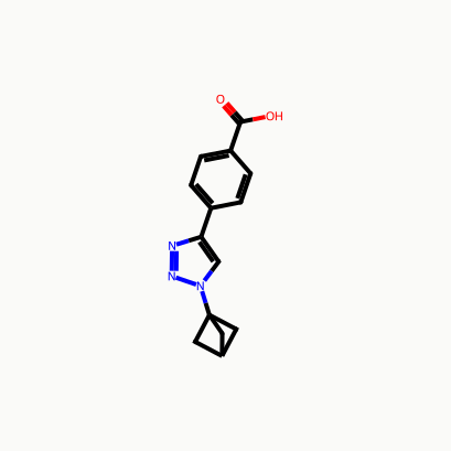 O=C(O)c1ccc(-c2cn(C34CC(C3)C4)nn2)cc1